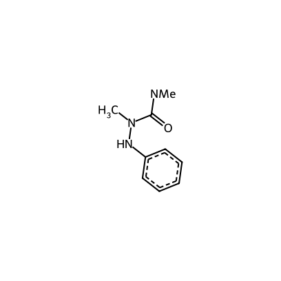 CNC(=O)N(C)Nc1ccccc1